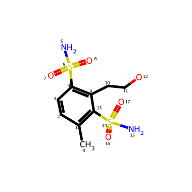 Cc1ccc(S(N)(=O)=O)c(CC[O])c1S(N)(=O)=O